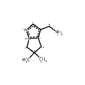 CC1(C)Cc2c(CN)cnn2C1